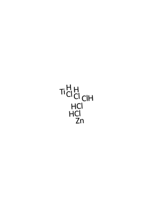 Cl.Cl.Cl.Cl.Cl.[Ti].[Zn]